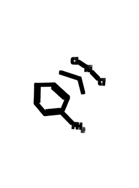 CCC.Pc1ccccc1.[Cl][Ni][Cl]